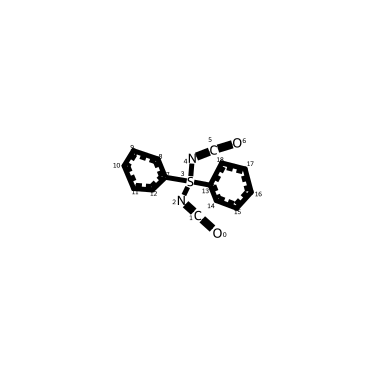 O=C=NS(N=C=O)(c1ccccc1)c1ccccc1